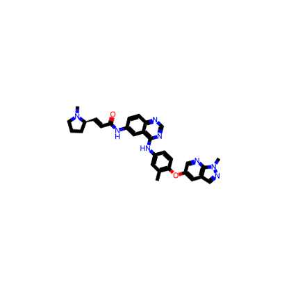 Cc1cc(Nc2ncnc3ccc(NC(=O)/C=C/[C@H]4CCCN4C)cc23)ccc1Oc1cnc2c(cnn2C)c1